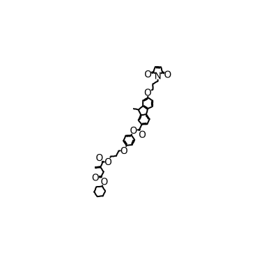 C=C(CC(=O)OC1CCCCC1)C(=O)OCCCOc1ccc(OC(=O)c2ccc3c(c2)C(C)c2cc(OCCCN4C(=O)C=CC4=O)ccc2-3)cc1